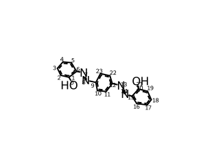 Oc1ccccc1N=Nc1ccc(N=Nc2ccccc2O)cc1